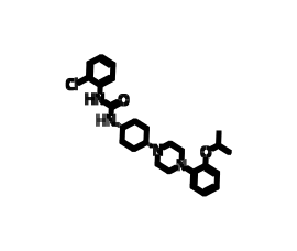 CC(C)Oc1ccccc1N1CCN([C@H]2CC[C@@H](NC(=O)Nc3ccccc3Cl)CC2)CC1